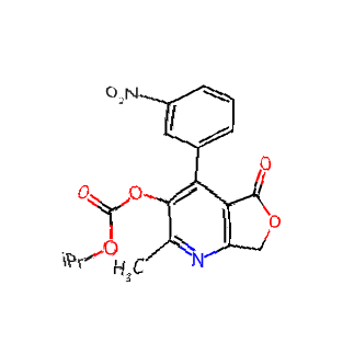 Cc1nc2c(c(-c3cccc([N+](=O)[O-])c3)c1OC(=O)OC(C)C)C(=O)OC2